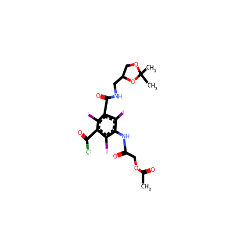 CC(=O)OCC(=O)Nc1c(I)c(C(=O)Cl)c(I)c(C(=O)NCC2COC(C)(C)O2)c1I